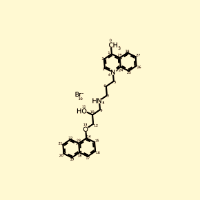 Cc1cc[n+](CCCNCC(O)COc2cccc3ccccc23)c2ccccc12.[Br-]